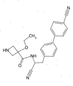 CCOC1(C(=O)NC(C#N)Cc2ccc(-c3ccc(C#N)cc3)cc2)CNC1